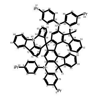 CC(C)c1ccc(N(c2ccc(C(C)C)cc2)c2cc3c(c4c2C(C)(C)c2ccccc2-4)-c2c(cc(N(c4ccc(C(C)C)cc4)c4ccc(C(C)C)cc4)c4c2-c2ccccc2C4(C)C)C32c3ccccc3-n3c4ccccc4c4cccc2c43)cc1